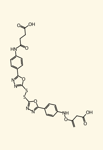 C=C(CC(=O)O)ONc1ccc(-c2nnc(SSc3nnc(-c4ccc(NC(=O)CCC(=O)O)cc4)o3)o2)cc1